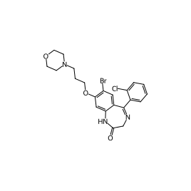 O=C1CN=C(c2ccccc2Cl)c2cc(Br)c(OCCCN3CCOCC3)cc2N1